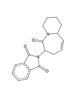 O=C1C(N2C(=O)c3ccccc3C2=O)CC=CC2CCCCN12